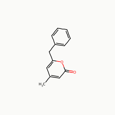 Cc1cc(Cc2ccccc2)oc(=O)c1